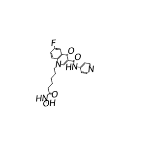 O=C(CCCCCn1cc(C(=O)Nc2ccncc2)c(=O)c2cc(F)ccc21)NO